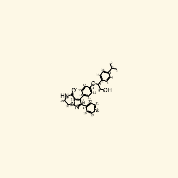 CC(C)c1ccc(C(CO)Oc2ccc(-c3c(-c4ccncc4)nn4c3C(=O)NCC4)cc2)cc1